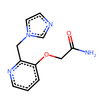 NC(=O)COc1cccnc1Cn1ccnc1